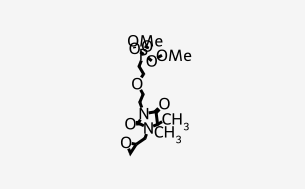 COOP(=O)(CCOCCN1C(=O)N(CC2CO2)C(C)(C)C1=O)OOC